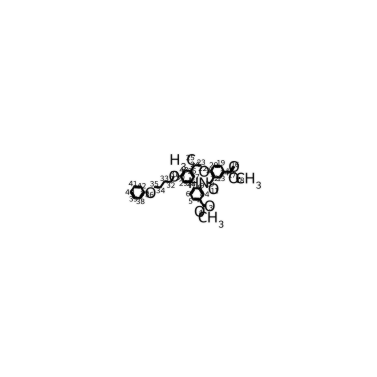 COC(=O)c1cccc(NC(=O)c2cc(C(=O)OC)ccc2OCC(C)c2cccc(OCCCCOc3ccccc3)c2)c1